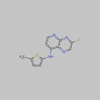 Fc1cnc2c(Nc3ccc(C(F)(F)F)s3)ccnc2n1